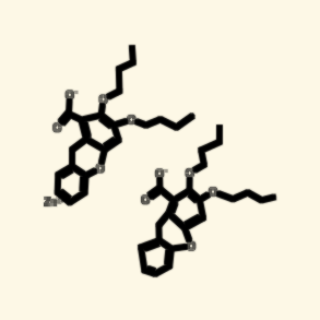 CCCCOc1cc2c(c(C(=O)[O-])c1OCCCC)Cc1ccccc1O2.CCCCOc1cc2c(c(C(=O)[O-])c1OCCCC)Cc1ccccc1O2.[Zn+2]